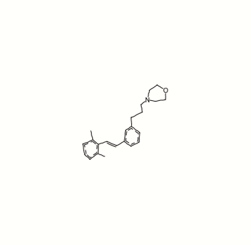 Cc1cccc(C)c1C=Cc1cccc(CCCN2CCOCC2)c1